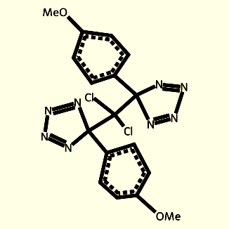 COc1ccc(C2(C(Cl)(Cl)C3(c4ccc(OC)cc4)N=NN=N3)N=NN=N2)cc1